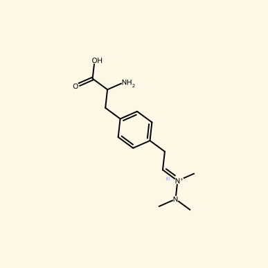 CN(C)/[N+](C)=C/Cc1ccc(CC(N)C(=O)O)cc1